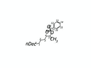 CCCCCCCCCCCCCCC(C)OS(=O)(=O)c1ccccc1